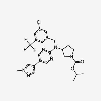 CC(C)OC(=O)N1CCC(N(Cc2cc(Cl)cc(C(F)(F)F)c2)c2ncc(-c3cnn(C)c3)cn2)C1